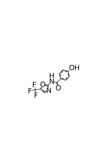 O=C(Nc1ncc(C(F)(F)F)o1)c1ccc(O)cc1